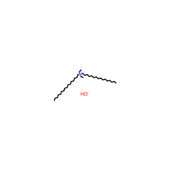 CCCCCCCCCCCCCCCC[N+](CC)(CC)CCCCCCCCCCCCCCCC.[OH-]